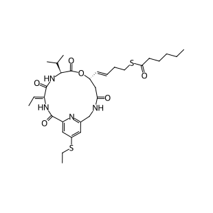 C/C=C1\NC(=O)c2cc(SCC)cc(n2)CNC(=O)C[C@@H](/C=C/CCSC(=O)CCCCC)OC(=O)[C@H](C(C)C)NC1=O